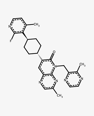 Cc1cnc2cc([C@H]3CC[C@H](c4c(C)ccnc4F)CC3)c(=O)n(Cc3nccnc3C)c2n1